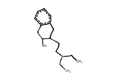 CCN(CC)CCC1Cc2ccccc2CC1O